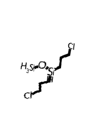 [SiH3]O[SiH](CCCCl)CCCCl